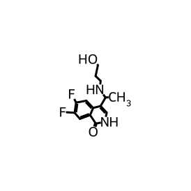 CC(NCCCO)c1c[nH]c(=O)c2cc(F)c(F)cc12